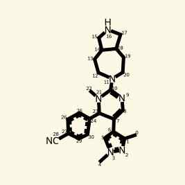 Cc1nn(C)cc1C1=CN=C(N2CCC3CNCC3CC2)N(C)C1c1ccc(C#N)cc1